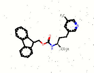 O=C(N[C@@H](CCc1cncc(C(F)(F)F)c1)C(=O)O)OCC1c2ccccc2-c2ccccc21